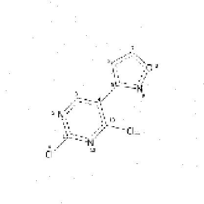 Clc1ncc(-c2ccon2)c(Cl)n1